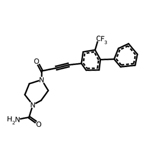 NC(=O)N1CCN(C(=O)C#Cc2ccc(-c3ccccc3)c(C(F)(F)F)c2)CC1